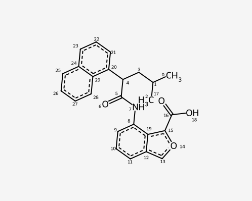 CC(C)CC(C(=O)Nc1cccc2coc(C(=O)O)c12)c1cccc2ccccc12